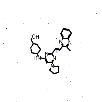 Cc1nc2ccccc2nc1/C=C/c1nc(NC2CCC(CO)CC2)cc(N2CCCC2)n1